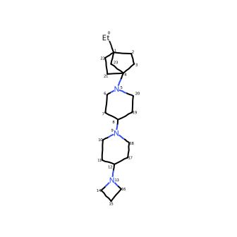 CCC12CCC(N3CCC(N4CCC(N5CCC5)CC4)CC3)(CC1)C2